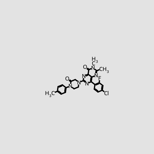 Cc1ccc(N2CCN(c3nc(-c4ccc(Cl)cc4F)c4nc(C)n(C)c(=O)c4n3)CC2=O)cc1